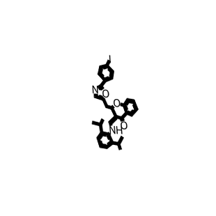 CC(C)c1cccc(C(C)C)c1N/C=C1\C(=O)c2ccccc2OC1Cc1cnc(-c2ccc(I)cc2)o1